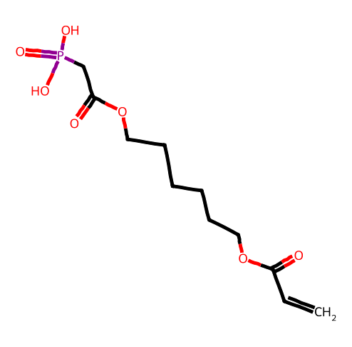 C=CC(=O)OCCCCCCOC(=O)CP(=O)(O)O